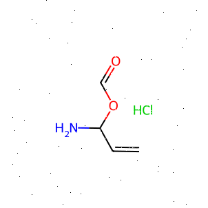 C=CC(N)OC=O.Cl